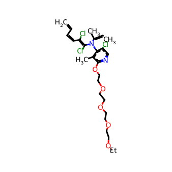 C=C/C=C\C(Cl)=C(/Cl)N(/C(C)=C\C)c1c(Cl)cnc(OCCOCCOCCOCCOCC)c1C